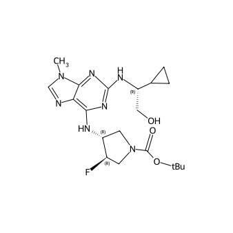 Cn1cnc2c(N[C@@H]3CN(C(=O)OC(C)(C)C)C[C@H]3F)nc(N[C@@H](CO)C3CC3)nc21